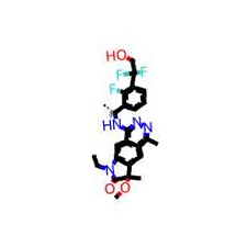 CCN1C(=O)C(C)(OC)c2cc3c(C)nnc(N[C@H](C)c4cccc(C(F)(F)CO)c4F)c3cc21